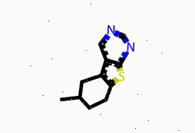 CC1CCc2sc3ncncc3c2C1